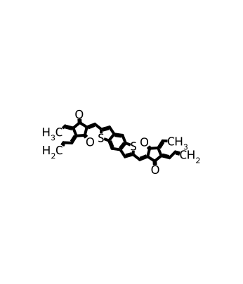 C=C/C=C1/C(=O)/C(=C\c2cc3cc4sc(/C=C5\C(=O)C(=C/C)/C(=C\C=C)C5=O)cc4cc3s2)C(=O)/C1=C/C